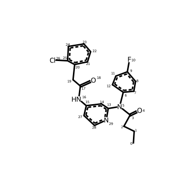 CCCC(=O)N(c1ccc(F)cc1)c1cc(NC(=O)Cc2ccccc2Cl)ccn1